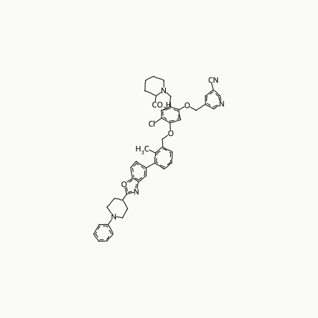 Cc1c(COc2cc(OCc3cncc(C#N)c3)c(CN3CCCCC3C(=O)O)cc2Cl)cccc1-c1ccc2oc(C3CCN(c4ccccc4)CC3)nc2c1